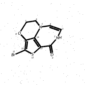 O=C1NC=CN2CCOc3c(Br)sc1c32